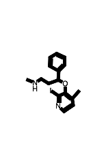 CNCCC(Oc1c(C)ccnc1I)c1ccccc1